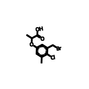 Cc1cc(OC(C)C(=O)O)cc(CBr)c1Cl